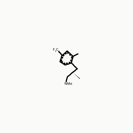 CNC[C@@H](C)Cc1ccc(C(F)(F)F)cc1C